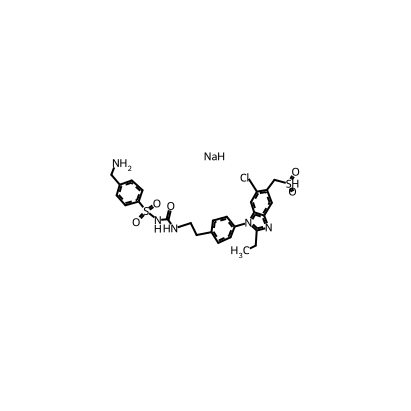 CCc1nc2cc(C[SH](=O)=O)c(Cl)cc2n1-c1ccc(CCNC(=O)NS(=O)(=O)c2ccc(CN)cc2)cc1.[NaH]